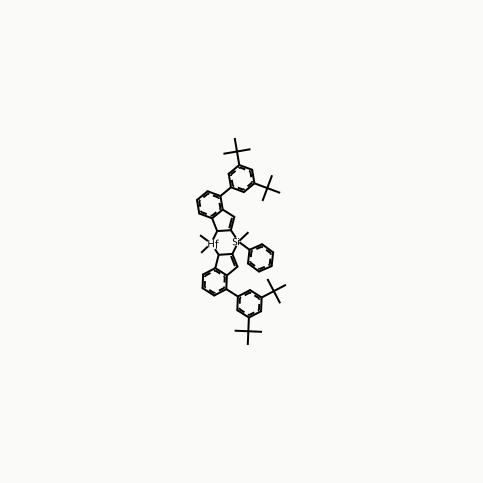 CC(C)(C)c1cc(-c2cccc3c2C=C2[CH]3[Hf]([CH3])([CH3])[CH]3C(=Cc4c(-c5cc(C(C)(C)C)cc(C(C)(C)C)c5)cccc43)[Si]2(C)c2ccccc2)cc(C(C)(C)C)c1